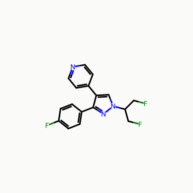 FCC(CF)n1cc(-c2ccncc2)c(-c2ccc(F)cc2)n1